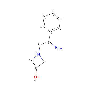 NC(CN1CC(O)C1)c1ccccc1